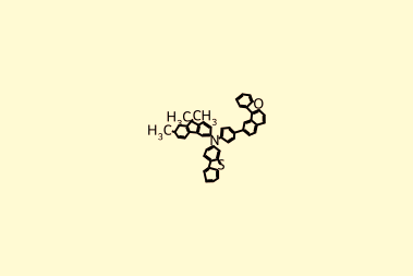 CC1C=CC2=C(C1)C(C)(C)c1ccc(N(c3ccc(-c4ccc5ccc6oc7ccccc7c6c5c4)cc3)c3ccc4c(c3)sc3ccccc34)cc12